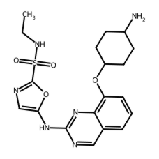 CCNS(=O)(=O)c1ncc(Nc2ncc3cccc(OC4CCC(N)CC4)c3n2)o1